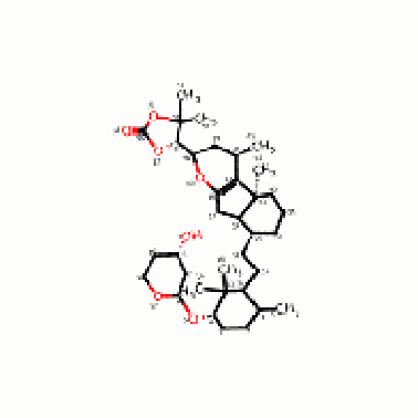 CC1CC[C@H](OC2C[C@@H](O)CCO2)C(C)(C)C1CC[C@@H]1CCC[C@]2(C)C3=C(CC12)O[C@@H]([C@@H]1OC(=O)OC1(C)C)C[C@H]3C